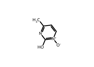 Cc1cc[n+]([O-])c(O)n1